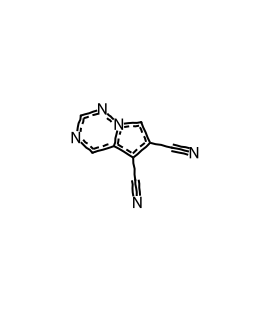 N#Cc1cn2ncncc2c1C#N